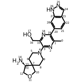 Cc1nc(N2CCC3(CC2)COC[C@H]3N)c(CO)nc1-c1ccc2cn[nH]c2c1